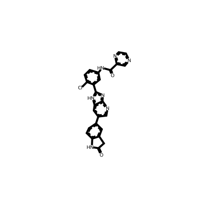 O=C1Cc2cc(-c3cnc4nc(-c5cc(NC(=O)c6cnccn6)ccc5Cl)[nH]c4c3)ccc2N1